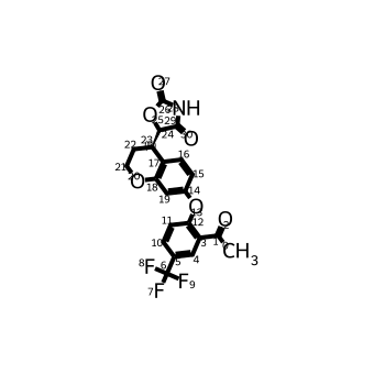 CC(=O)c1cc(C(F)(F)F)ccc1Oc1ccc2c(c1)OCC[C@H]2C1OC(=O)NC1=O